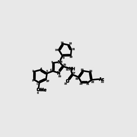 COc1cccc(-c2cn(-c3ccccc3)c(NC(=O)c3ccc(C(C)=O)cc3)n2)c1